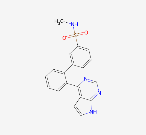 CNS(=O)(=O)c1cccc(-c2ccccc2-c2ncnc3[nH]ccc23)c1